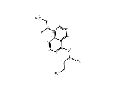 CCOC(C)Oc1cccc2c(C(I)CC)cccc12